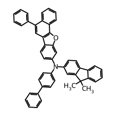 CC1(C)c2ccccc2-c2ccc(N(c3ccc(-c4ccccc4)cc3)c3ccc4c(c3)oc3c5ccccc5c(-c5ccccc5)cc43)cc21